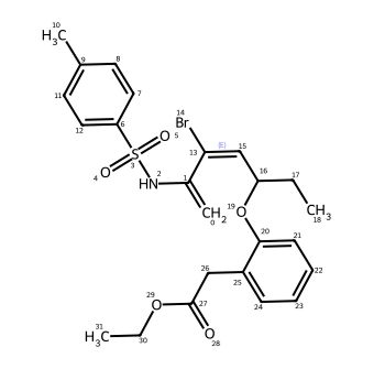 C=C(NS(=O)(=O)c1ccc(C)cc1)/C(Br)=C\C(CC)Oc1ccccc1CC(=O)OCC